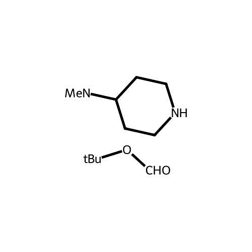 CC(C)(C)OC=O.CNC1CCNCC1